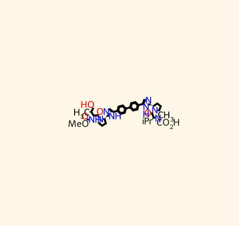 COC(=O)N[C@H](C(=O)N1CCC[C@H]1c1ncc(-c2ccc(-c3ccc(-c4cnc([C@@H]5CCCN5C(=O)[C@H](C(C)C)N(C)C(=O)O)[nH]4)cc3)cc2)[nH]1)[C@@H](C)CO